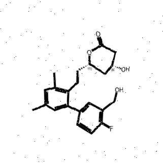 Cc1cc(C)c(CC[C@H]2C[C@@H](O)CC(=O)O2)c(-c2ccc(F)c(CO)c2)c1